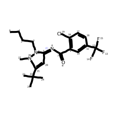 CCCCn1/c(=N/C(=O)c2cc(C(F)(F)F)ccc2Cl)cc(C(C)(C)C)n1C